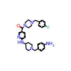 Nc1ccc(CN2CCC(Nc3ccc(C(=O)N4CCN(Cc5ccc(F)cc5)CC4)cn3)CC2)cc1